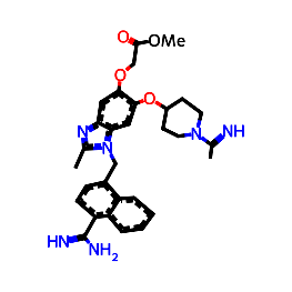 COC(=O)COc1cc2nc(C)n(Cc3ccc(C(=N)N)c4ccccc34)c2cc1OC1CCN(C(C)=N)CC1